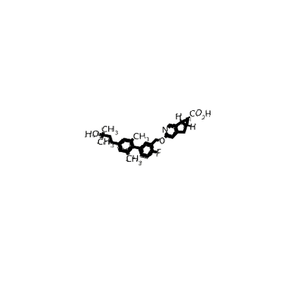 Cc1cc(CCC(C)(C)O)cc(C)c1-c1ccc(F)c(COc2cc3c(cn2)[C@H]2[C@@H](C3)[C@@H]2C(=O)O)c1